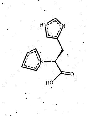 O=C(O)[C@H](Cc1c[nH]cn1)n1cccc1